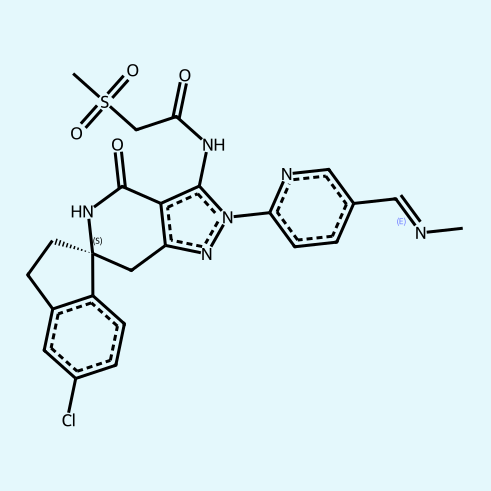 C/N=C/c1ccc(-n2nc3c(c2NC(=O)CS(C)(=O)=O)C(=O)N[C@@]2(CCc4cc(Cl)ccc42)C3)nc1